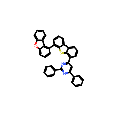 c1ccc(-c2cc(-c3cccc4c3sc3c(-c5cccc6oc7ccccc7c56)cccc34)nc(-c3ccccc3)n2)cc1